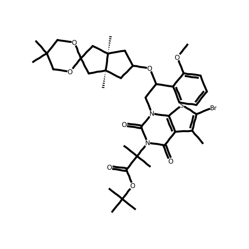 COc1ccccc1C(Cn1c(=O)n(C(C)(C)C(=O)OC(C)(C)C)c(=O)c2c(C)c(Br)sc21)OC1C[C@@]2(C)CC3(C[C@@]2(C)C1)OCC(C)(C)CO3